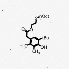 CCCCCCCCSCCOC(=O)Cc1cc(C(C)(C)C)c(O)c(C)c1C